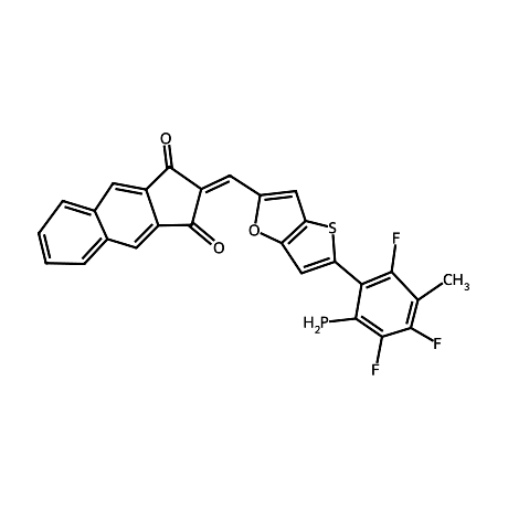 Cc1c(F)c(F)c(P)c(-c2cc3oc(C=C4C(=O)c5cc6ccccc6cc5C4=O)cc3s2)c1F